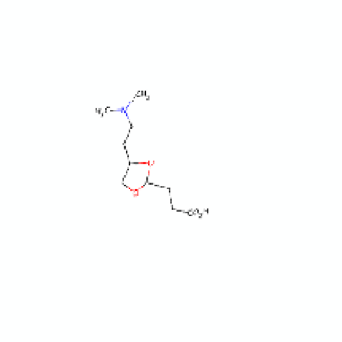 CN(C)CCC1COC(CCC(=O)O)O1